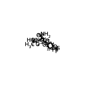 C[C@H](O)C(=O)Nc1sc(S(=O)(=O)C2=CC=C(OC(F)(F)F)CC=C2)cc1C(N)=O